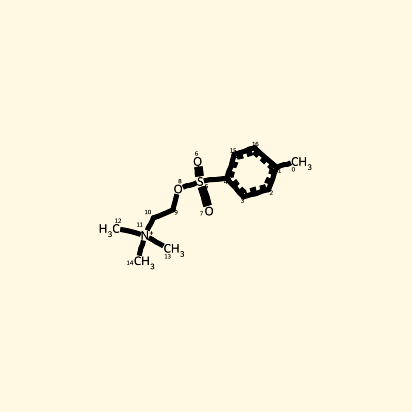 Cc1ccc(S(=O)(=O)OCC[N+](C)(C)C)cc1